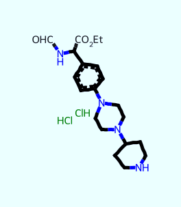 CCOC(=O)C(NC=O)c1ccc(N2CCN(C3CCNCC3)CC2)cc1.Cl.Cl